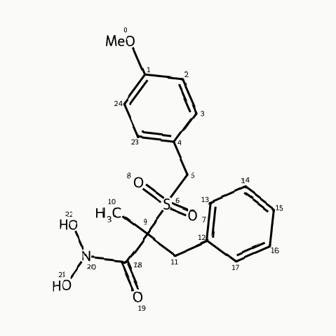 COc1ccc(CS(=O)(=O)C(C)(Cc2ccccc2)C(=O)N(O)O)cc1